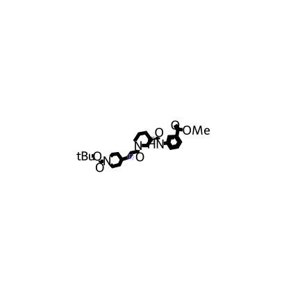 COC(=O)c1cccc(NC(=O)[C@@H]2CCCN(C(=O)/C=C/C3CCN(C(=O)OC(C)(C)C)CC3)C2)c1